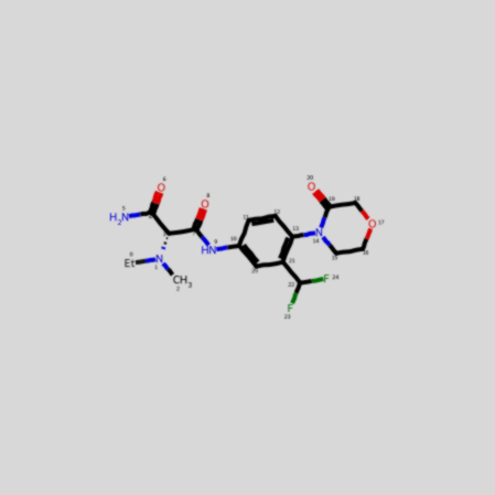 CCN(C)[C@H](C(N)=O)C(=O)Nc1ccc(N2CCOCC2=O)c(C(F)F)c1